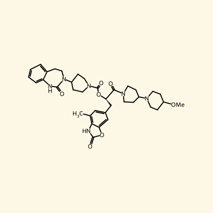 COC1CCN(C2CCN(C(=O)[C@@H](Cc3cc(C)c4[nH]c(=O)oc4c3)OC(=O)N3CCC(N4CCc5ccccc5NC4=O)CC3)CC2)CC1